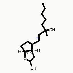 CCCCCC(C)(O)/C=C/C1CC[C@@H]2OC(O)C[C@H]12